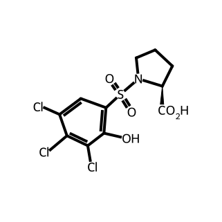 O=C(O)[C@@H]1CCCN1S(=O)(=O)c1cc(Cl)c(Cl)c(Cl)c1O